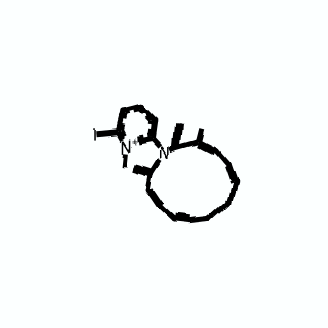 C=C1/C=C\C=C/CC/C=C\C=C(\C)C(=C)N1c1cccc(I)[n+]1C